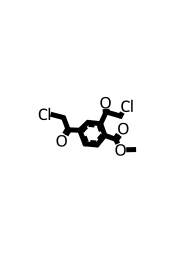 COC(=O)c1ccc(C(=O)CCl)cc1C(=O)CCl